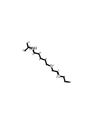 CCCOCCOCCCCCNC(C)C